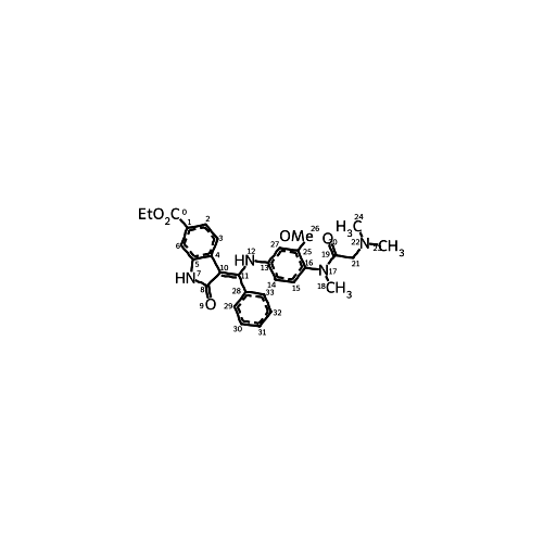 CCOC(=O)c1ccc2c(c1)NC(=O)C2=C(Nc1ccc(N(C)C(=O)CN(C)C)c(OC)c1)c1ccccc1